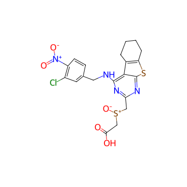 O=C(O)C[S+]([O-])Cc1nc(NCc2ccc([N+](=O)[O-])c(Cl)c2)c2c3c(sc2n1)CCCC3